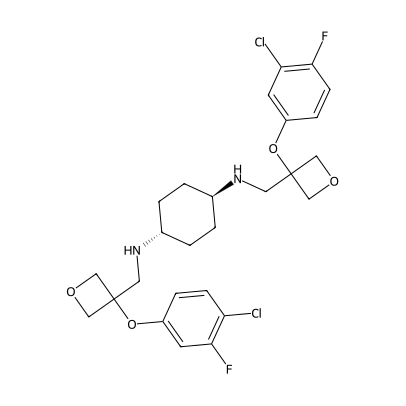 Fc1cc(OC2(CN[C@H]3CC[C@H](NCC4(Oc5ccc(F)c(Cl)c5)COC4)CC3)COC2)ccc1Cl